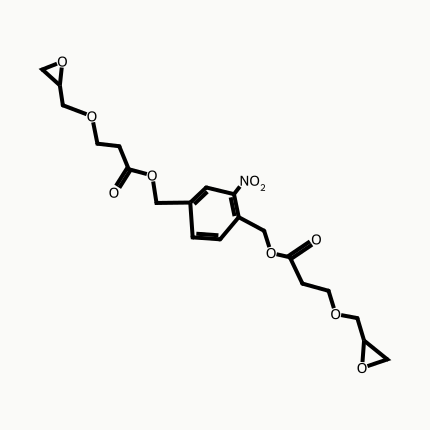 O=C(CCOCC1CO1)OCc1ccc(COC(=O)CCOCC2CO2)c([N+](=O)[O-])c1